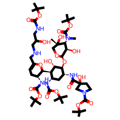 CN(C(=O)OC(C)(C)C)[C@@H]1[C@@H](O)[C@@H](O[C@@H]2[C@@H](O)[C@H](C3OC(CNCC(O)CNC(=O)OC(C)(C)C)=CC[C@H]3NC(=O)OC(C)(C)C)[C@@H](NC(=O)OC(C)(C)C)C[C@H]2NC(=O)C2(O)CCN(C(=O)OC(C)(C)C)C2)OC[C@]1(C)O